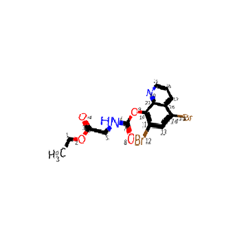 CCOC(=O)CNC(=O)Oc1c(Br)cc(Br)c2cccnc12